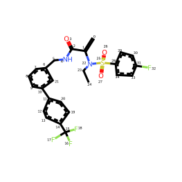 C=C(C(=O)NCc1cccc(-c2ccc(C(F)(F)F)cc2)c1)N(CC)S(=O)(=O)c1ccc(F)cc1